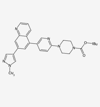 Cn1cc(-c2cc(-c3ccc(N4CCN(C(=O)OC(C)(C)C)CC4)nc3)c3cccnc3c2)cn1